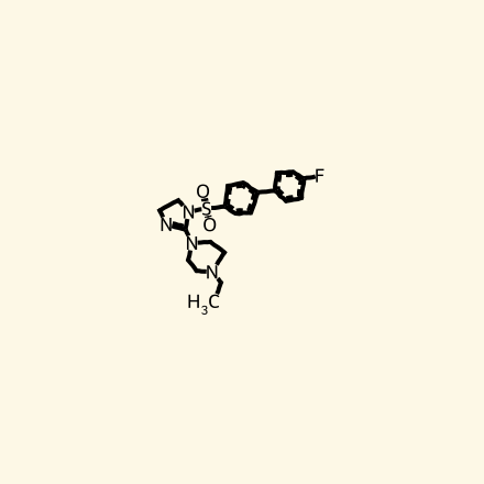 CCN1CCN(C2=NCCN2S(=O)(=O)c2ccc(-c3ccc(F)cc3)cc2)CC1